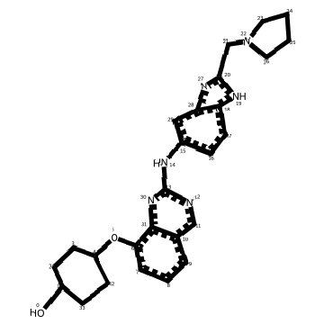 OC1CCC(Oc2cccc3cnc(Nc4ccc5[nH]c(CN6CCCC6)nc5c4)nc23)CC1